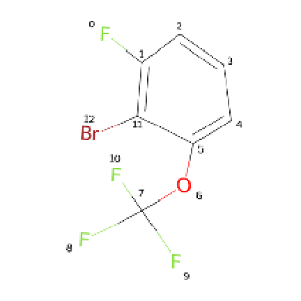 Fc1cccc(OC(F)(F)F)c1Br